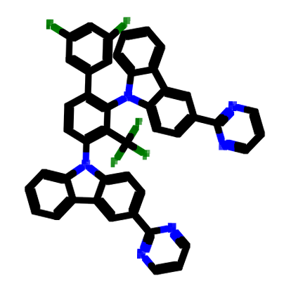 Fc1cc(F)cc(-c2ccc(-n3c4ccccc4c4cc(-c5ncccn5)ccc43)c(C(F)(F)F)c2-n2c3ccccc3c3cc(-c4ncccn4)ccc32)c1